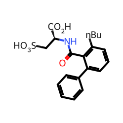 CCCCc1cccc(-c2ccccc2)c1C(=O)N[C@@H](CS(=O)(=O)O)C(=O)O